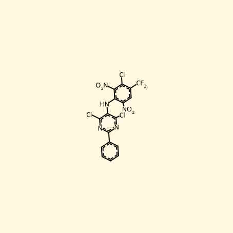 O=[N+]([O-])c1cc(C(F)(F)F)c(Cl)c([N+](=O)[O-])c1Nc1c(Cl)nc(-c2ccccc2)nc1Cl